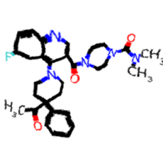 CC(=O)C1(c2ccccc2)CCN(c2c(C(=O)N3CCN(C(=O)N(C)C)CC3)cnc3ccc(F)cc23)CC1